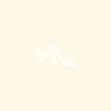 CCOc1cc2c(cc1OCC)/C(=C(/Nc1ccc(C(N)(CC)CC)cc1)c1ccccc1)C(=O)N2